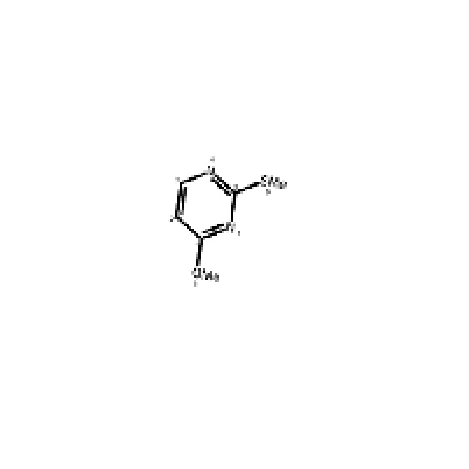 COc1ccnc(SC)n1